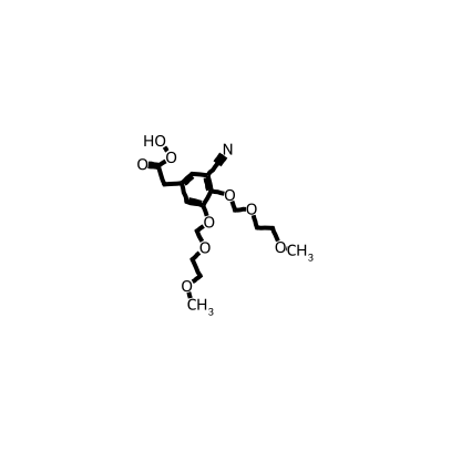 COCCOCOc1cc(CC(=O)OO)cc(C#N)c1OCOCCOC